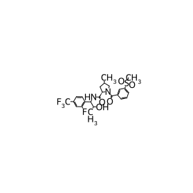 CC(O)C(NC(=O)[C@H]1C[C@@H](C)CN1C(=O)c1cccc(S(C)(=O)=O)c1)c1ccc(C(F)(F)F)cc1F